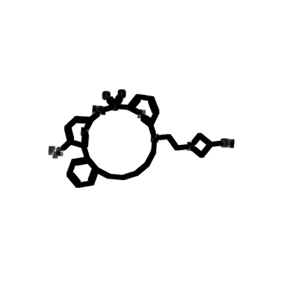 O=S1(=O)Nc2ccc(C(F)(F)F)c(n2)-c2ccccc2CCCCCN(CCN2CC(O)C2)c2cccc1n2